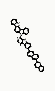 c1ccc2cc(-c3ccc4cc(-c5ccc6sc7c(-n8c9ccccc9c9c%10sc%11ccccc%11c%10ccc98)ncnc7c6c5)ccc4c3)ccc2c1